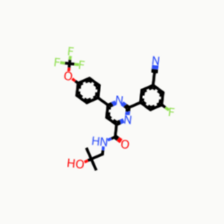 CC(C)(O)CNC(=O)c1cc(-c2ccc(OC(F)(F)F)cc2)nc(-c2cc(F)cc(C#N)c2)n1